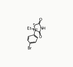 CC[N+]1(c2ccc(Br)cc2)SC(=O)NC1=O